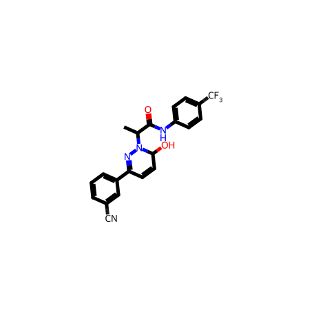 CC(C(=O)Nc1ccc(C(F)(F)F)cc1)N1N=C(c2cccc(C#N)c2)C=CC1O